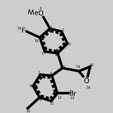 COc1ccc(C(c2ccc(C)cc2Br)C2CO2)cc1F